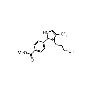 COC(=O)c1ccc(C2NC=C(C(F)(F)F)N2CCCO)cc1